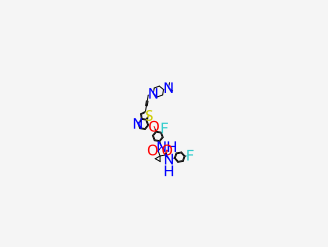 CN(C)C1CCN(CC#Cc2cc3nccc(Oc4ccc(NC(=O)C5(C(=O)Nc6ccc(F)cc6)CC5)cc4F)c3s2)CC1